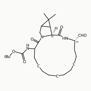 CC(C)(C)OC(=O)NC1CCCCCCCCCC[C@@H](C=O)NC(=O)[C@@H]2C3C(CN2C1=O)C3(C)C